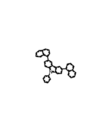 c1ccc(-n2c3ccc(-c4cccc5ccccc45)cc3c3cc(-c4cccc5ccccc45)ccc32)cc1